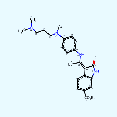 CCOC(=O)c1ccc2c(c1)NC(=O)/C2=C(/CC)Nc1ccc(N(CCCN(C)C)C(C)=O)cc1